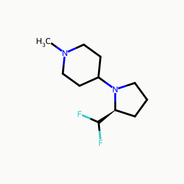 CN1CCC(N2CCC[C@H]2C(F)F)CC1